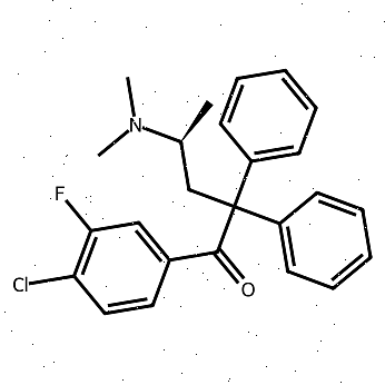 C[C@@H](CC(C(=O)c1ccc(Cl)c(F)c1)(c1ccccc1)c1ccccc1)N(C)C